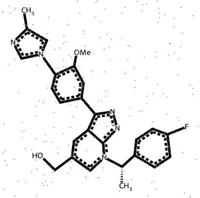 COc1cc(-c2nnc3n([C@@H](C)c4ccc(F)cc4)cc(CO)cc2-3)ccc1-n1cnc(C)c1